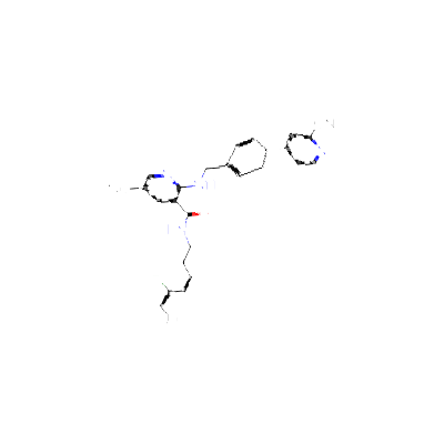 CC/C=C(F)\C=C/CCNC(=O)c1cc(C#N)cnc1NCC1=CC[C@@H](c2ccnc(C#N)c2)C=C1